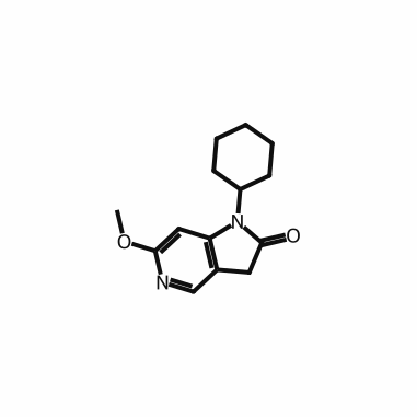 COc1cc2c(cn1)CC(=O)N2C1CCCCC1